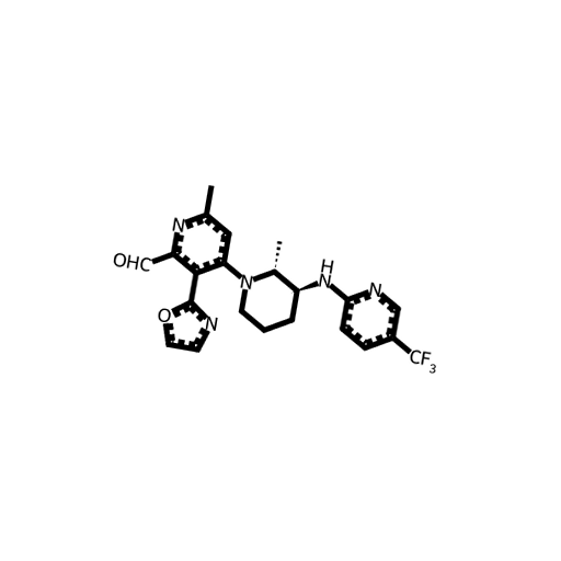 Cc1cc(N2CCC[C@H](Nc3ccc(C(F)(F)F)cn3)[C@H]2C)c(-c2ncco2)c(C=O)n1